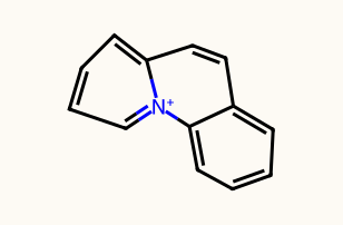 c1ccc2c(c1)ccc1cccc[n+]12